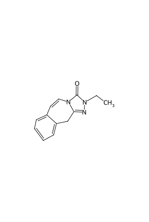 CCn1nc2n(c1=O)C=Cc1ccccc1C2